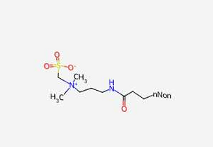 CCCCCCCCCCCC(=O)NCCC[N+](C)(C)CS(=O)(=O)[O-]